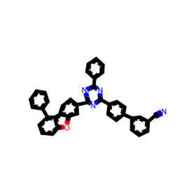 N#Cc1cccc(-c2ccc(-c3nc(-c4ccccc4)nc(-c4ccc5c(c4)oc4cccc(-c6ccccc6)c45)n3)cc2)c1